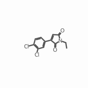 CCN1C(=O)C=C(c2ccc(Cl)c(Cl)c2)C1=O